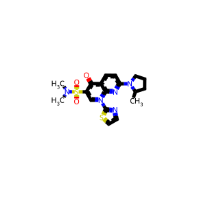 CC1CCCN1c1ccc2c(=O)c(S(=O)(=O)N(C)C)cn(-c3nccs3)c2n1